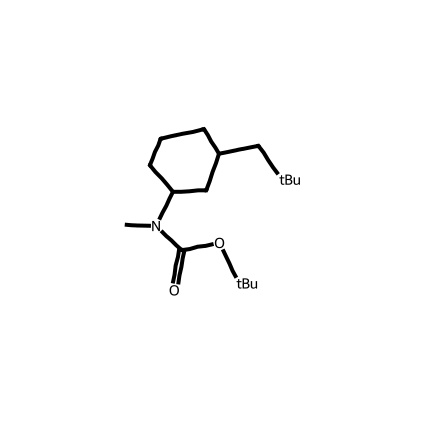 CN(C(=O)OC(C)(C)C)C1CCCC(CC(C)(C)C)C1